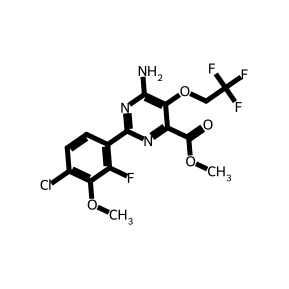 COC(=O)c1nc(-c2ccc(Cl)c(OC)c2F)nc(N)c1OCC(F)(F)F